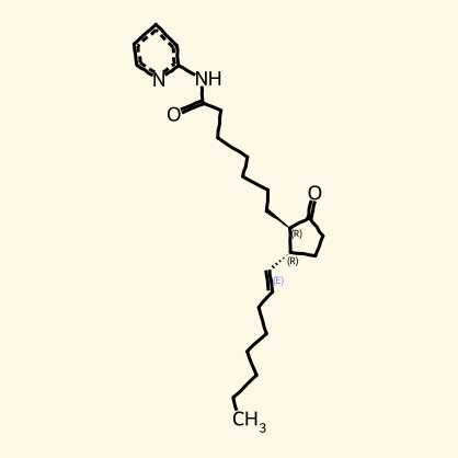 CCCCCC/C=C/[C@H]1CCC(=O)[C@@H]1CCCCCCC(=O)Nc1ccccn1